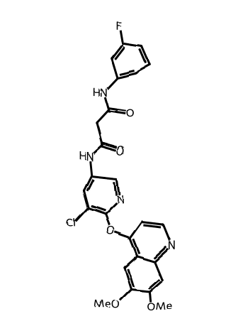 COc1cc2nccc(Oc3ncc(NC(=O)CC(=O)Nc4cccc(F)c4)cc3Cl)c2cc1OC